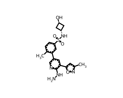 Cc1cc(-c2cc(-c3cc(S(=O)(=O)N[C@H]4C[C@H](O)C4)ccc3C)cnc2NN)on1